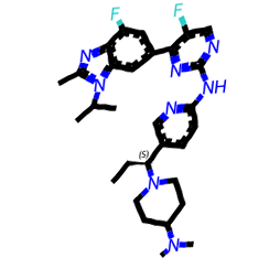 CC[C@@H](c1ccc(Nc2ncc(F)c(-c3cc(F)c4nc(C)n(C(C)C)c4c3)n2)nc1)N1CCC(N(C)C)CC1